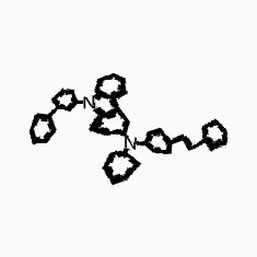 C(=C\c1ccc(N(c2ccccc2)c2ccc3c(c2)c2ccccc2n3-c2cccc(-c3ccccc3)c2)cc1)/c1ccccc1